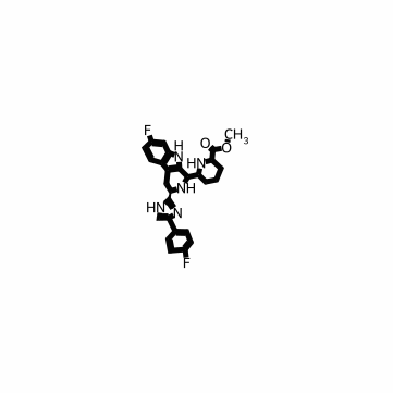 COC(=O)C1CCCC(C2N[C@@H](c3nc(-c4ccc(F)cc4)c[nH]3)Cc3c2[nH]c2cc(F)ccc32)N1